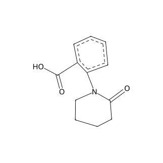 O=C(O)c1ccccc1N1CCCCC1=O